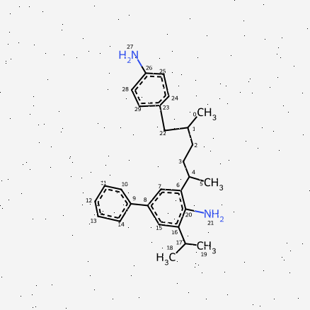 CC(CCC(C)c1cc(-c2ccccc2)cc(C(C)C)c1N)Cc1ccc(N)cc1